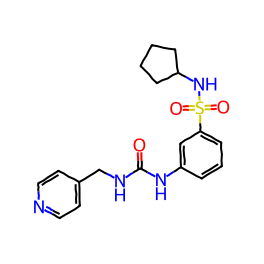 O=C(NCc1ccncc1)Nc1cccc(S(=O)(=O)NC2CCCC2)c1